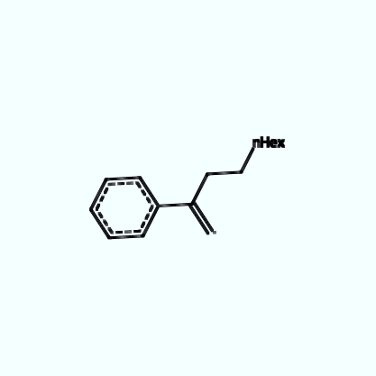 [CH]=C(CCCCCCCC)c1ccccc1